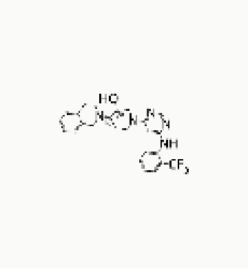 O[C@@H]1CN(c2cc(Nc3ccccc3C(F)(F)F)ncn2)CC[C@H]1N1CCc2ccccc2C1